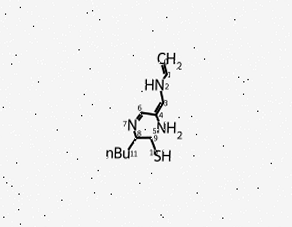 C=CN/C=C(N)\C=N/C(CS)CCCC